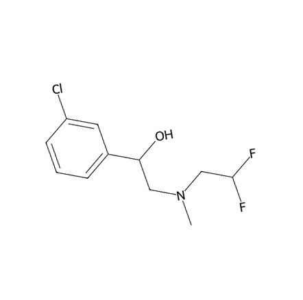 CN(CC(F)F)CC(O)c1cccc(Cl)c1